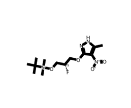 Cc1[nH]nc(OC[C@H](F)CO[Si](C)(C)C(C)(C)C)c1[N+](=O)[O-]